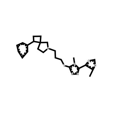 Cc1ncoc1-c1nnc(SCCCN2CCC3(CCC3c3ccccc3)C2)n1C